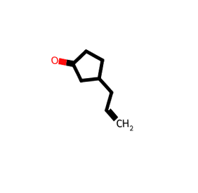 C=CCC1CCC(=O)C1